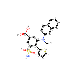 CCN(c1ccc2ccccc2c1)c1cc(C(=O)O)cc(S(N)(=O)=O)c1-c1cccs1